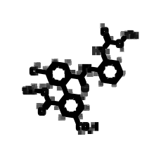 CC(C)(C)OC(=O)Nc1ccccc1NC(=O)c1ccc(Cl)cc1-c1ccc(C(=O)O)cc1C(=O)OC(C)(C)C